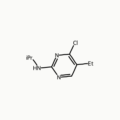 [CH2]Cc1cnc(NC(C)C)nc1Cl